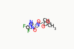 CC1=CC(=O)C(CCC(=O)N2CCC(C(=O)N(Cc3ccc(F)cc3F)c3ccncn3)CC2)=C(C)C1=O